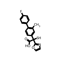 Cc1cc(C(S)(C(=O)O)c2ncco2)ccc1-c1ccc(F)cc1